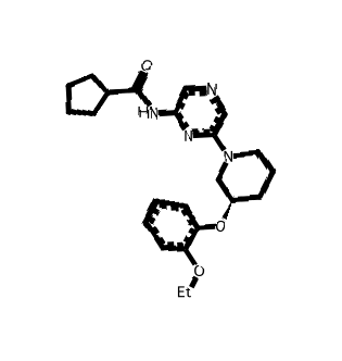 CCOc1ccccc1O[C@@H]1CCCN(c2cncc(NC(=O)C3CCCC3)n2)C1